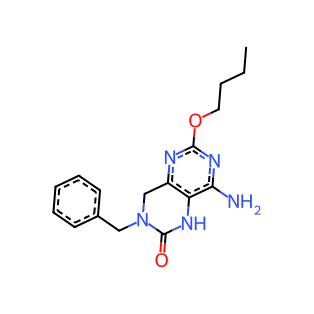 CCCCOc1nc(N)c2c(n1)CN(Cc1ccccc1)C(=O)N2